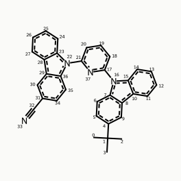 CC(C)(C)c1ccc2c(c1)c1ccccc1n2-c1cccc(-n2c3ccccc3c3cc(C#N)ccc32)n1